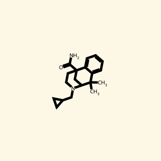 CC1(C)c2ccccc2C2(C(N)=O)CCN(CC3CC3)C1C2